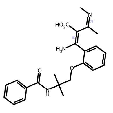 C/N=C(C)\C(C(=O)O)=C(\N)c1ccccc1OCC(C)(C)NC(=O)c1ccccc1